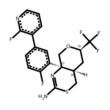 NC1=N[C@@]2(c3cc(-c4cccnc4F)ccc3F)CO[C@@H](C(F)(F)F)C[C@H]2CS1